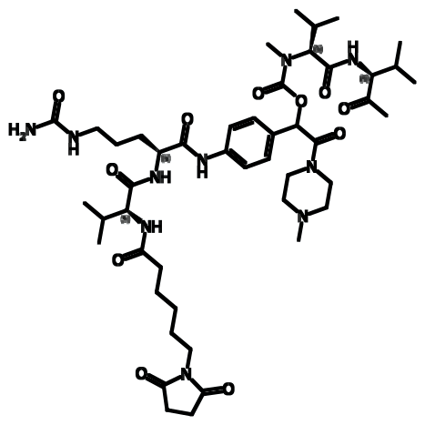 CC(=O)[C@@H](NC(=O)[C@H](C(C)C)N(C)C(=O)OC(C(=O)N1CCN(C)CC1)c1ccc(NC(=O)[C@H](CCCNC(N)=O)NC(=O)[C@@H](NC(=O)CCCCCN2C(=O)CCC2=O)C(C)C)cc1)C(C)C